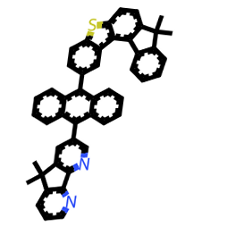 CC1(C)c2cccnc2-c2ncc(-c3c4ccccc4c(-c4ccc5sc6ccc7c(c6c5c4)-c4ccccc4C7(C)C)c4ccccc34)cc21